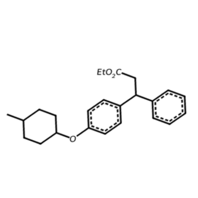 CCOC(=O)CC(c1ccccc1)c1ccc(OC2CCC(C)CC2)cc1